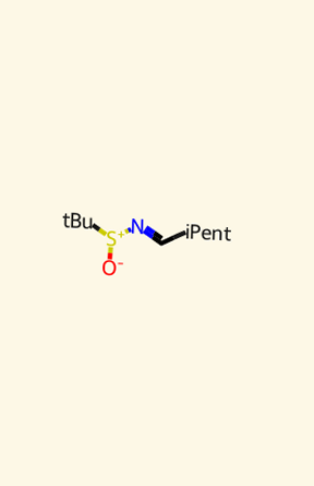 CCCC(C)/C=N/[S+]([O-])C(C)(C)C